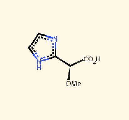 CO[C@H](C(=O)O)c1ncc[nH]1